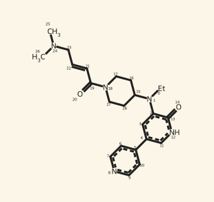 CCN(c1cc(-c2ccncc2)c[nH]c1=O)C1CCN(C(=O)/C=C/CN(C)C)CC1